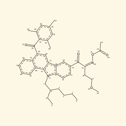 CCCCC(CC)Cn1c2ccc(C(=O)/C(CCOC)=N\OC(C)=O)cc2c2cc(C(=O)c3c(C)cc(C)cc3C)c3ccccc3c21